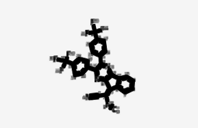 [C-]#[N+]/C(C#N)=C1\c2ccccc2-c2nc(-c3ccc(C(F)(F)F)cc3)c(-c3ccc(C(F)(F)F)cc3)nc21